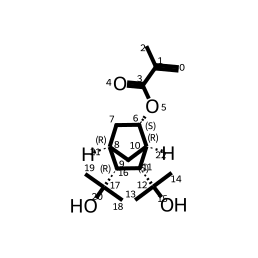 C=C(C)C(=O)O[C@H]1C[C@H]2C[C@@H]1[C@H](C(C)(C)O)[C@@H]2C(C)(C)O